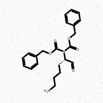 NCCCC[C@@H]([C]=O)N(C(=O)OCc1ccccc1)C(=O)OCc1ccccc1